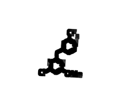 COc1cc(Cl)nc(Cc2ccnc(C(F)(F)F)c2)n1